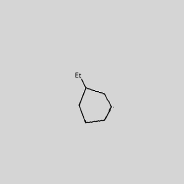 [CH2]CC1C[CH]CCC1